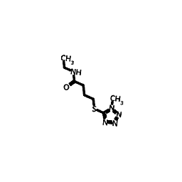 CCNC(=O)CCCSc1nnnn1C